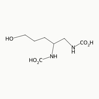 O=C(O)NCC(CCCO)NC(=O)O